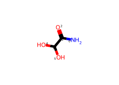 NC(=O)[C](O)O